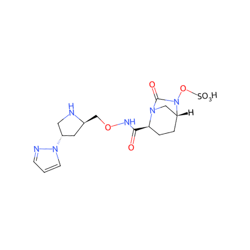 O=C(NOC[C@H]1C[C@H](n2cccn2)CN1)[C@@H]1CC[C@@H]2CN1C(=O)N2OS(=O)(=O)O